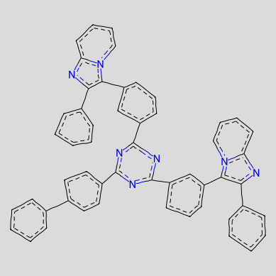 c1ccc(-c2ccc(-c3nc(-c4cccc(-c5c(-c6ccccc6)nc6ccccn56)c4)nc(-c4cccc(-c5c(-c6ccccc6)nc6ccccn56)c4)n3)cc2)cc1